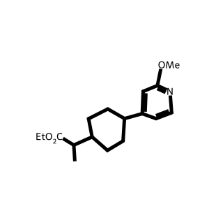 CCOC(=O)C(C)C1CCC(c2ccnc(OC)c2)CC1